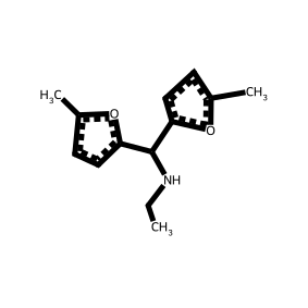 CCNC(c1ccc(C)o1)c1ccc(C)o1